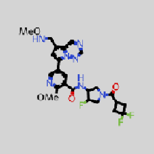 CONCc1cc(-c2cnc(OC)c(C(=O)NC3CN(C(=O)C4CC(F)(F)C4)CC3F)c2)n2ncncc12